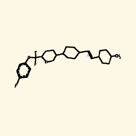 CC1CCC(/C=C/C2CCC(C3CCC(C(F)(F)Oc4ccc(F)cc4)OC3)CC2)CC1